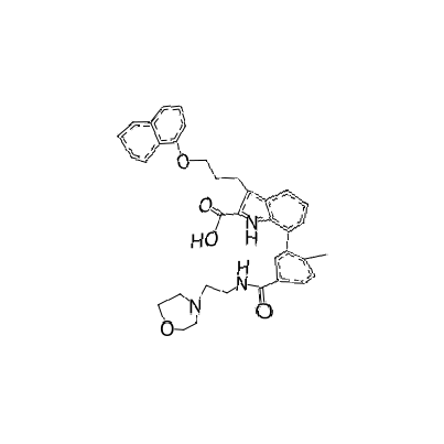 Cc1ccc(C(=O)NCCN2CCOCC2)cc1-c1cccc2c(CCCOc3cccc4ccccc34)c(C(=O)O)[nH]c12